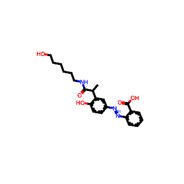 CC(C(=O)NCCCCCCO)c1cc(/N=N/c2ccccc2C(=O)O)ccc1O